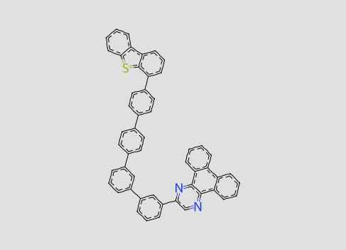 c1cc(-c2ccc(-c3ccc(-c4cccc5c4sc4ccccc45)cc3)cc2)cc(-c2cccc(-c3cnc4c5ccccc5c5ccccc5c4n3)c2)c1